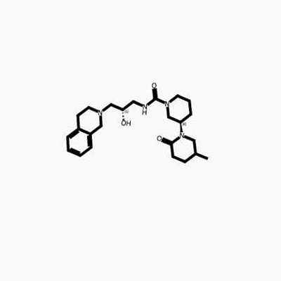 CC1CCC(=O)N([C@@H]2CCCN(C(=O)NC[C@H](O)CN3CCc4ccccc4C3)C2)C1